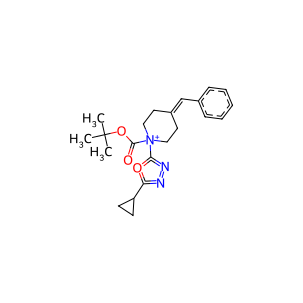 CC(C)(C)OC(=O)[N+]1(c2nnc(C3CC3)o2)CCC(=Cc2ccccc2)CC1